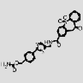 NC(=O)OCc1ccc(-c2ncc(CNC(=O)c3ccc4c(c3)CC(=O)c3ccccc3S4(=O)=O)s2)cc1